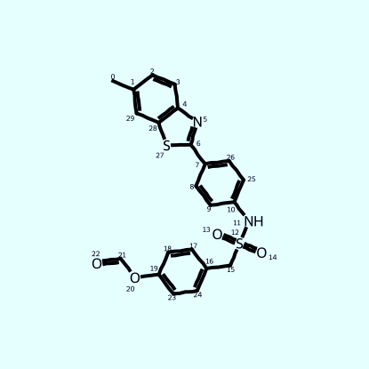 Cc1ccc2nc(-c3ccc(NS(=O)(=O)Cc4ccc(OC=O)cc4)cc3)sc2c1